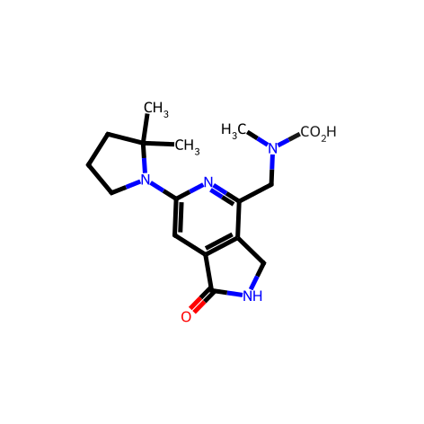 CN(Cc1nc(N2CCCC2(C)C)cc2c1CNC2=O)C(=O)O